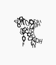 COc1ccccc1-c1nccc(COc2ccc(O)cc2CC(Oc2ncnc3oc(-c4ccc(F)cc4)c(-c4cc(Cl)c(OC(CO)CN5CCN(C)CC5)c(Cl)c4)c23)C(=O)O)n1